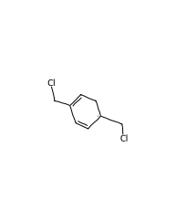 ClC[C]1C=CC(CCl)=CC1